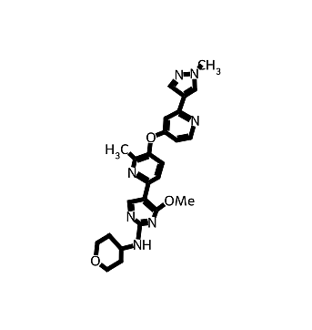 COc1nc(NC2CCOCC2)ncc1-c1ccc(Oc2ccnc(-c3cnn(C)c3)c2)c(C)n1